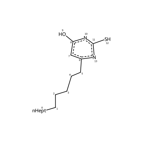 CCCCCCCCCCCCc1cc(O)nc(S)n1